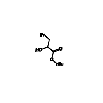 CCCCOC(=O)C(O)CC(C)C